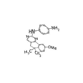 COc1ccc2c(c1)-c1nc(Nc3ccc(N)cc3)ncc1CC2(C)C